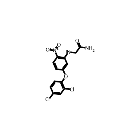 NC(=O)CNc1cc(Oc2ccc(Cl)cc2Cl)ccc1[N+](=O)[O-]